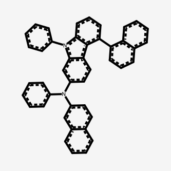 c1ccc(N(c2ccc3ccccc3c2)c2ccc3c4c(-c5cccc6ccccc56)cccc4n(-c4ccccc4)c3c2)cc1